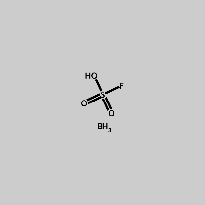 B.O=S(=O)(O)F